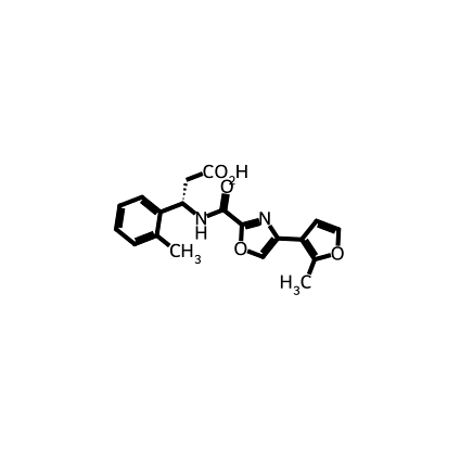 Cc1ccccc1[C@H](CC(=O)O)NC(=O)c1nc(-c2ccoc2C)co1